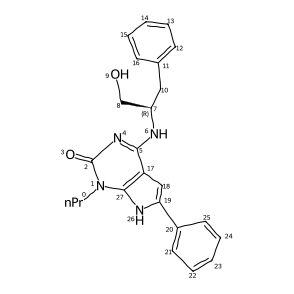 CCCn1c(=O)nc(N[C@@H](CO)Cc2ccccc2)c2cc(-c3ccccc3)[nH]c21